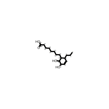 CCCC1C=CC(O)C(O)C1CCCCCCCC(=O)O